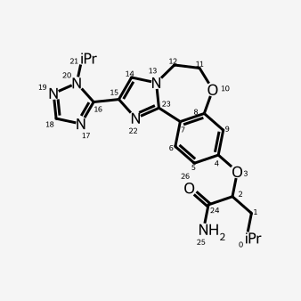 CC(C)CC(Oc1ccc2c(c1)OCCn1cc(-c3ncnn3C(C)C)nc1-2)C(N)=O